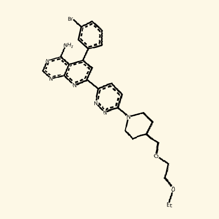 CCOCCOCC1CCN(c2ccc(-c3cc(-c4cccc(Br)c4)c4c(N)ncnc4n3)nn2)CC1